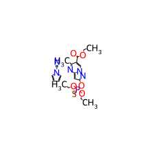 CCOC(=O)c1cn2nc(OP(=S)(OCC)OCC)cc2nc1C.N#Cn1cccc1